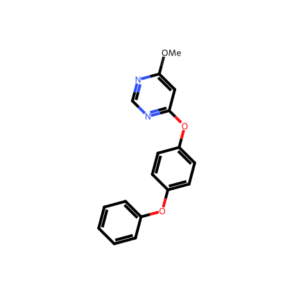 COc1cc(Oc2ccc(Oc3ccccc3)cc2)ncn1